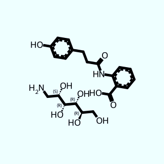 NC[C@H](O)[C@@H](O)[C@H](O)[C@H](O)CO.O=C(CCc1ccc(O)cc1)Nc1ccccc1C(=O)O